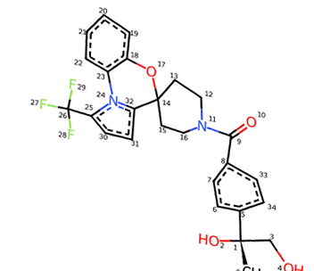 C[C@](O)(CO)c1ccc(C(=O)N2CCC3(CC2)Oc2ccccc2-n2c(C(F)(F)F)ccc23)cc1